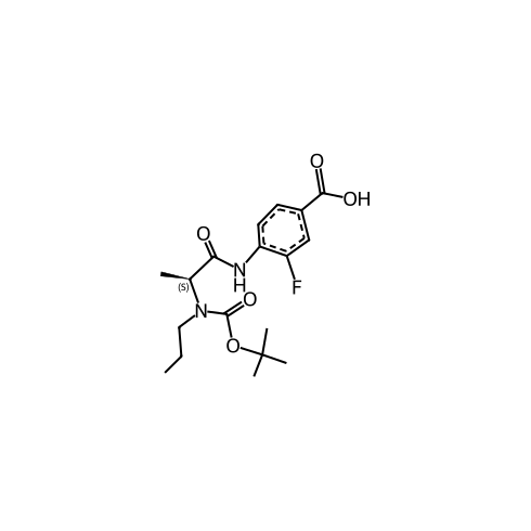 CCCN(C(=O)OC(C)(C)C)[C@@H](C)C(=O)Nc1ccc(C(=O)O)cc1F